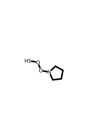 SOON1CCCC1